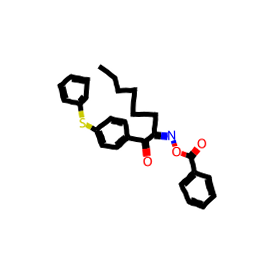 CCCCCCC(=NOC(=O)c1ccccc1)C(=O)c1ccc(Sc2ccccc2)cc1